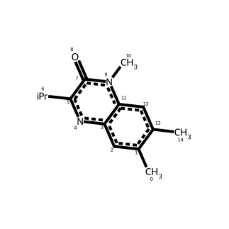 Cc1cc2nc(C(C)C)c(=O)n(C)c2cc1C